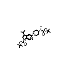 CC(C)c1cn(C(=O)OC(C)(C)C)c2cnc(N3CCC(NC(=O)OC(C)(C)C)CC3)cc12